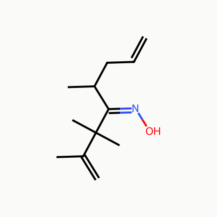 C=CCC(C)C(=NO)C(C)(C)C(=C)C